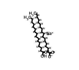 CCCCCCCCCCCCCCCC(=O)O.CCCCCCCCCCCCCCCCCC(=O)[O-].[Na+]